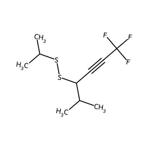 CC(C)SSC(C#CC(F)(F)F)C(C)C